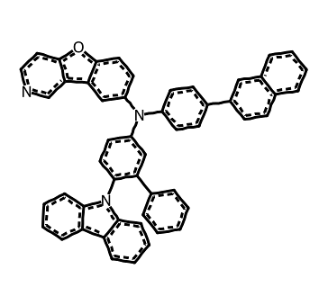 c1ccc(-c2cc(N(c3ccc(-c4ccc5ccccc5c4)cc3)c3ccc4oc5ccncc5c4c3)ccc2-n2c3ccccc3c3ccccc32)cc1